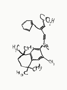 Cc1cc2c(cc1[Se]C#CC(=CC(=O)O)c1ccccc1)C(C)(C)CCC2(C)C